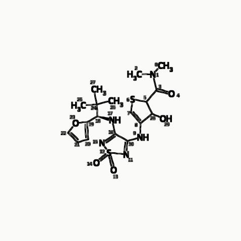 CN(C)C(=O)C1SC=C(NC2=NS(=O)(=O)N=C2N[C@@H](c2ccco2)C(C)(C)C)C1O